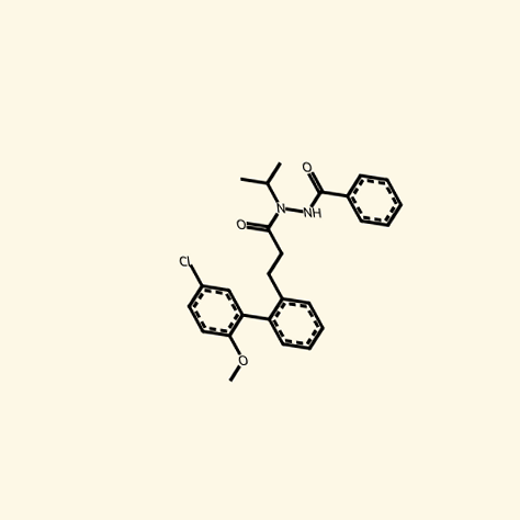 COc1ccc(Cl)cc1-c1ccccc1CCC(=O)N(NC(=O)c1ccccc1)C(C)C